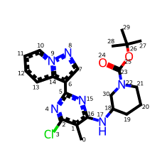 Cc1c(Cl)nc(-c2cnn3ccccc23)nc1NC1CCCN(C(=O)OC(C)(C)C)C1